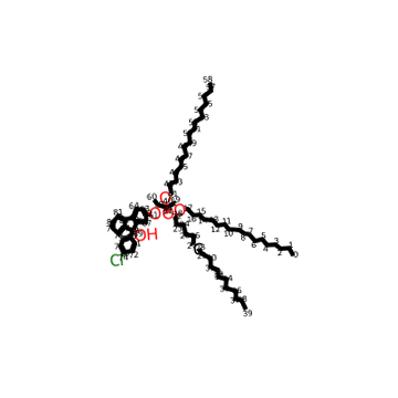 CCCCCCCCCCCCCCCCCCOCC(OCCCCCCCCCCCCCCCCCC)(OCCCCCCCCCCCCCCCCCC)C(C)Oc1ccc2c(c1)C(O)(c1ccc(Cl)cc1)c1ccccc1-2